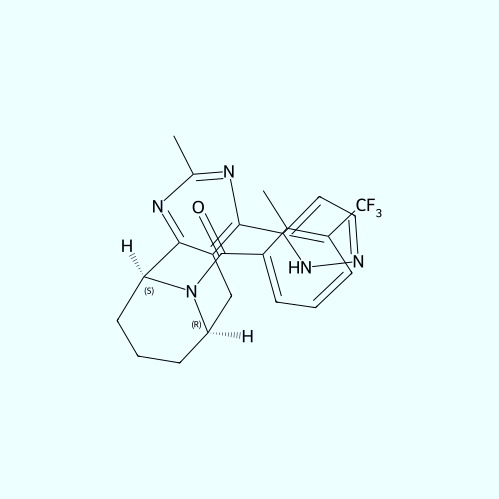 Cc1nc(-c2ccn[nH]2)c2c(n1)[C@@H]1CCC[C@H](C2)N1C(=O)c1cccc(C(F)(F)F)c1C